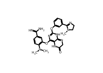 CN1CCN=C1c1cccc(OC2=NC(Oc3cc(C(=N)N)ccc3N(C)C)=C3NC(=O)CN=C3N2)c1